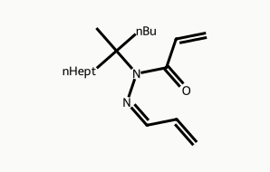 C=C/C=N\N(C(=O)C=C)C(C)(CCCC)CCCCCCC